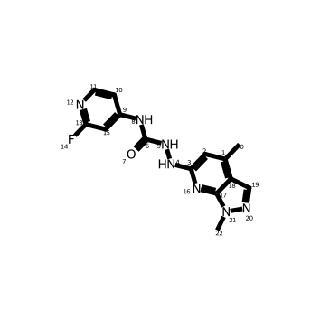 Cc1cc(NNC(=O)Nc2ccnc(F)c2)nc2c1cnn2C